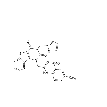 COc1ccc(NC(=O)Cn2c(=O)n(Cc3ccco3)c(=O)c3sc4ccccc4c32)c(OC)c1